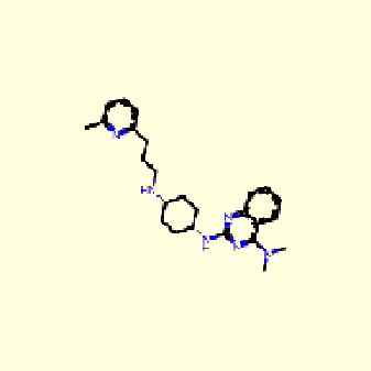 Cc1cccc(CCCN[C@H]2CC[C@@H](Nc3nc(N(C)C)c4ccccc4n3)CC2)n1